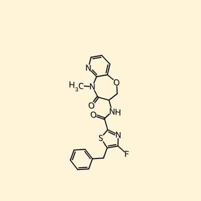 CN1C(=O)C(NC(=O)c2nc(F)c(Cc3ccccc3)s2)COc2cccnc21